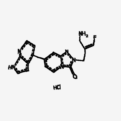 Cl.NC/C(=C\F)Cn1nc2cc(-c3ccnc4[nH]ccc34)ccn2c1=O